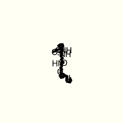 COCOc1ccccc1NC(=S)NCCCC(=O)NCCCOc1cccc(CN2CCCCC2)c1